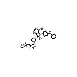 CC(C)(C=C(C#N)C(=O)N1CC[C@H](n2c(=O)n(-c3ccc(Oc4ccccc4)cc3)c3c(N)ncnc32)C1)N1CCC1